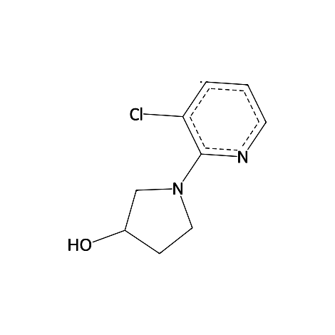 OC1CCN(c2ncc[c]c2Cl)C1